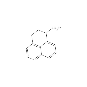 CCOC(=O)C1CCc2cccc3cccc1c23